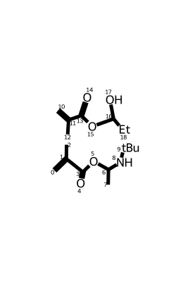 C=C(C)C(=O)OC(C)NC(C)(C)C.C=C(C)C(=O)OC(O)CC